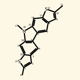 Cc1cc2cc3c4cc5cc(C)sc5cc4n(C)c3cc2s1